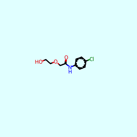 O=C(COCCO)Nc1ccc(Cl)cc1